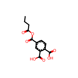 CCCC(=O)OC(=O)c1ccc(C(=O)O)c(C(=O)O)c1